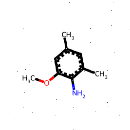 COc1cc(C)cc(C)c1N